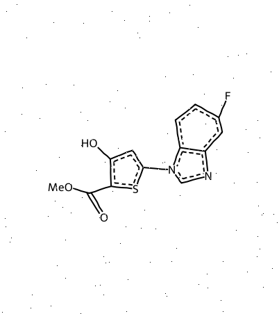 COC(=O)c1sc(-n2cnc3cc(F)ccc32)cc1O